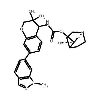 Cn1ncc2ccc(-c3ccc4c(c3)OCC(C)(C)C4NC(=O)O[C@H]3CN4CCC3CC4)cc21